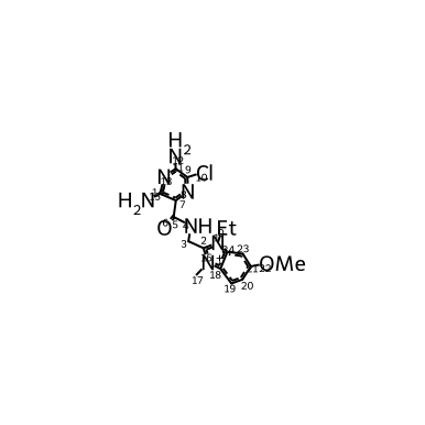 CCn1c(CNC(=O)c2nc(Cl)c(N)nc2N)[n+](C)c2ccc(OC)cc21